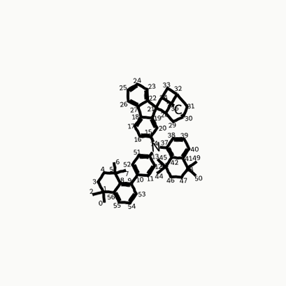 CC1(C)CCC(C)(C)c2c(-c3ccc(N(c4ccc5c(c4)C4(c6ccccc6-5)C5CC6CC7CC4C75C6)c4cccc5c4C(C)(C)CCC5(C)C)cc3)cccc21